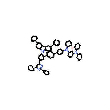 c1ccc(-c2ccc3c(c2)c2cc(-c4ccccc4)ccc2n3-c2ccc(-c3cc(-c4ccccc4)nc(-c4ccccc4)n3)cc2-c2ccc(-c3ccc(N4c5ccccc5B5c6ccccc6N(c6ccccc6)c6cccc4c65)cc3)cc2)cc1